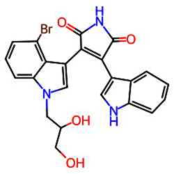 O=C1NC(=O)C(c2cn(CC(O)CO)c3cccc(Br)c23)=C1c1c[nH]c2ccccc12